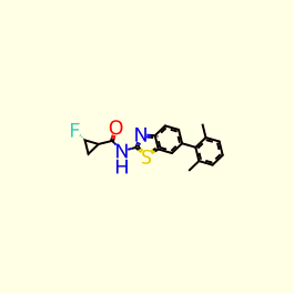 Cc1cccc(C)c1-c1ccc2nc(NC(=O)C3C[C@@H]3F)sc2c1